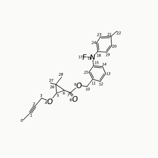 CC#CCOC1C(C(=O)OCc2cccc(N(F)c3ccc(C)cc3)c2)C1(C)C